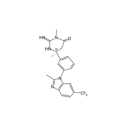 Cc1nc2ccc(C(F)(F)F)cc2n1-c1cccc([C@]2(C)CC(=O)N(C)C(=N)N2)c1